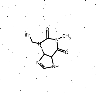 CC(C)CN1C(=O)N(C)C(=O)C2NC=NC21